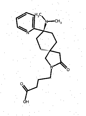 CN(C)[C@]1(c2ccccn2)CC[C@]2(CC1)CC(=O)N(CCCC(=O)O)C2